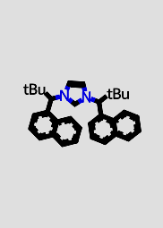 CC(C)(C)C(c1cccc2ccccc12)N1C=CN(C(c2cccc3ccccc23)C(C)(C)C)C1